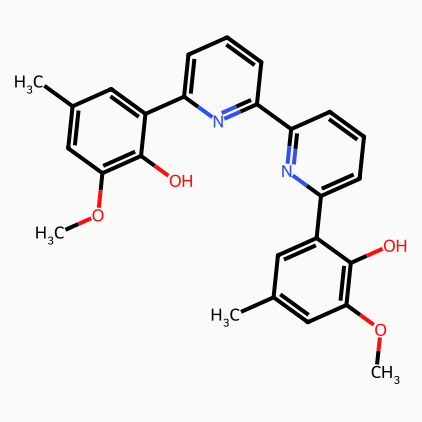 COc1cc(C)cc(-c2cccc(-c3cccc(-c4cc(C)cc(OC)c4O)n3)n2)c1O